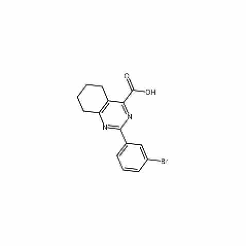 O=C(O)c1nc(-c2cccc(Br)c2)nc2c1CCCC2